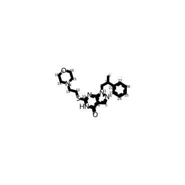 CC(Cn1ncc2c(=O)[nH]c(SCCN3CCOCC3)nc21)c1ccccc1